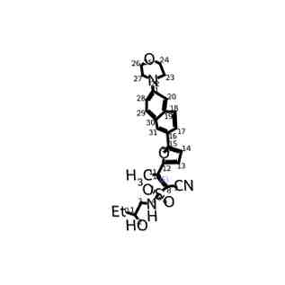 CCC(O)CNS(=O)(=O)/C(C#N)=C(\C)c1ccc(-c2ccc3cc(N4CCOCC4)ccc3c2)o1